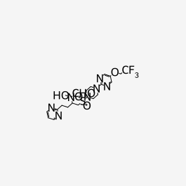 O=CN(O)C(CCc1ncccn1)CS(=O)(=O)N1CCN(c2ncc(OCC(F)(F)F)cn2)CC1